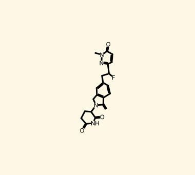 C=C1c2ccc(CC(F)c3ccc(=O)n(C)n3)cc2CN1C1CCC(=O)NC1=O